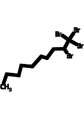 CCCCCCCCC(Br)C(Br)(Br)Br